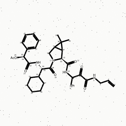 C=CCNC(=O)C(=O)C(CCC)NC(=O)[C@@H]1C2C(CN1C(=O)[C@@H](NC(=O)[C@@H](OC(C)=O)c1ccccc1)C1CCCCC1)C2(C)C